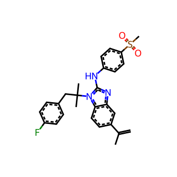 C=C(C)c1ccc2c(c1)nc(Nc1ccc(S(C)(=O)=O)cc1)n2C(C)(C)Cc1ccc(F)cc1